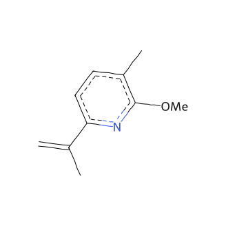 C=C(C)c1ccc(C)c(OC)n1